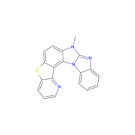 Cn1c2ccc3sc4cccnc4c3c2n2c3ccccc3nc12